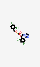 O=C(OC(Cn1ccnc1)c1ccc(Cl)cc1Cl)SOCc1ccc(Cl)cc1Cl